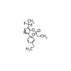 CCc1ccc(-c2nsc(C(C)(F)F)c2OS(=O)(=O)CC)cc1